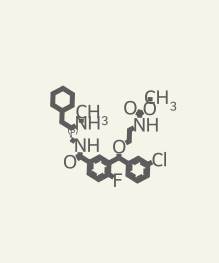 CN[C@H](CNC(=O)c1ccc(F)c(C(OCCNC(=O)OC)c2cccc(Cl)c2)c1)CC1CCCCC1